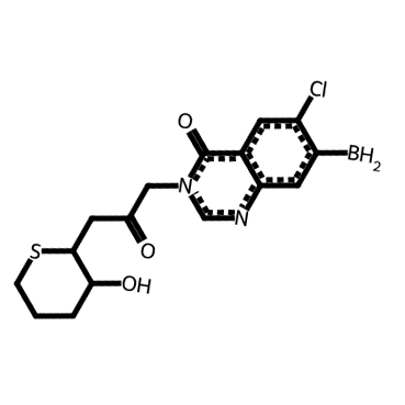 Bc1cc2ncn(CC(=O)CC3SCCCC3O)c(=O)c2cc1Cl